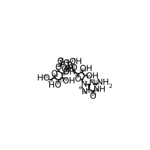 Nc1nc2c(ncn2C2OC(COP(=O)(O)OP(=O)(O)OC3OC(CO)C(O)C(O)C3O)C(O)C2O)c(=O)[nH]1